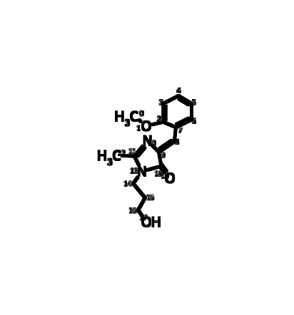 COc1ccccc1/C=C1\N=C(C)N(CCCO)C1=O